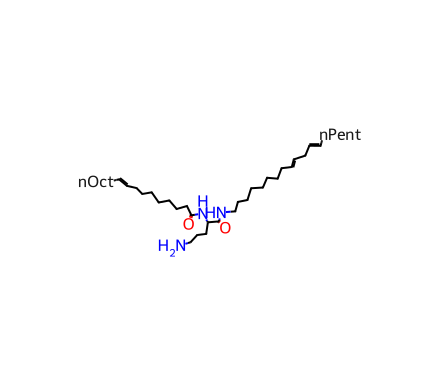 CCCCCC=CCC=CCCCCCCCCNC(=O)C(CCCN)NC(=O)CCCCCCCC=CCCCCCCCC